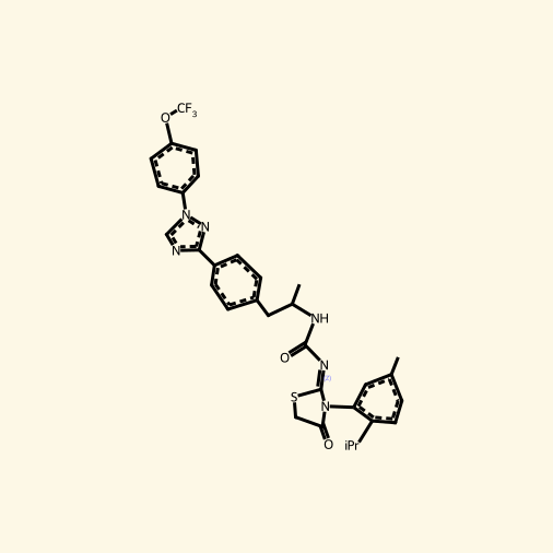 Cc1ccc(C(C)C)c(N2C(=O)CS/C2=N\C(=O)NC(C)Cc2ccc(-c3ncn(-c4ccc(OC(F)(F)F)cc4)n3)cc2)c1